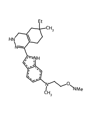 CCC1(C)CCC2=C(CNN=C2c2cc3ccc(N(C)CCONC)cc3[nH]2)C1